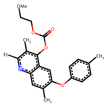 CCc1nc2cc(C)c(Oc3ccc(C)cc3)cc2c(OC(=O)OCCOC)c1C